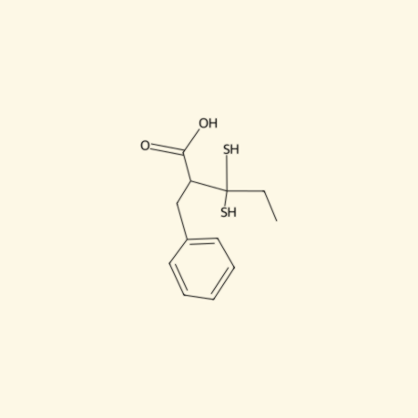 CCC(S)(S)C(Cc1ccccc1)C(=O)O